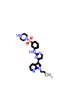 CCCn1cc(-c2ccnc(Nc3cccc(S(=O)(=O)N4CCNCC4)c3)n2)c2cccnc21